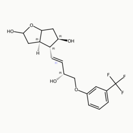 OC1C[C@H]2C(C[C@@H](O)[C@@H]2/C=C/[C@@H](O)COc2cccc(C(F)(F)F)c2)O1